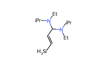 CCN(C(C)C)C(C=C[SiH3])N(CC)C(C)C